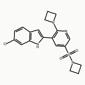 O=S(=O)(c1cnc(N2CCC2)c(-c2cc3ccc(Cl)cc3[nH]2)c1)N1CCC1